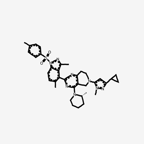 Cc1ccc(S(=O)(=O)n2nc(C)c3c(-c4nc5c(c(N6CCCC[C@H]6C)n4)CN(c4cc(C6CC6)nn4C)CC5)c(C)ccc32)cc1